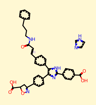 O=C(/C=C/c1ccc(-c2[nH]c(-c3ccc(C(=O)O)cc3)nc2-c2ccc(C3=NOC(C(=O)O)C3)cc2)cc1)NCCCc1ccccc1.c1c[nH]cn1